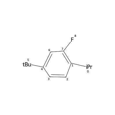 CC(C)c1ccc(C(C)(C)C)cc1F